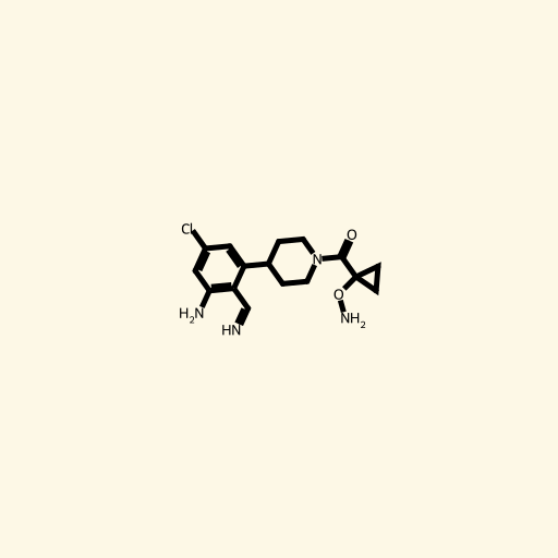 N=Cc1c(N)cc(Cl)cc1C1CCN(C(=O)C2(ON)CC2)CC1